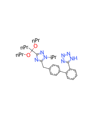 CCCOC(CCC)(OCCC)c1nc(Cc2ccc(-c3ccccc3-c3nnn[nH]3)cc2)n(C(C)C)n1